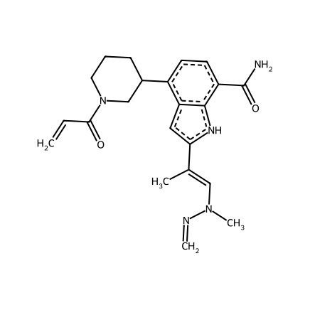 C=CC(=O)N1CCCC(c2ccc(C(N)=O)c3[nH]c(/C(C)=C/N(C)N=C)cc23)C1